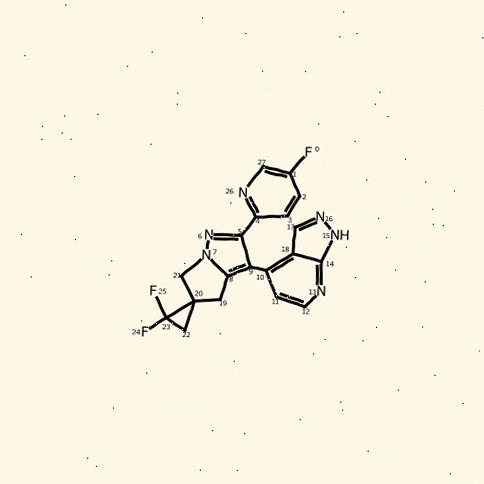 Fc1ccc(-c2nn3c(c2-c2ccnc4[nH]ncc24)CC2(C3)CC2(F)F)nc1